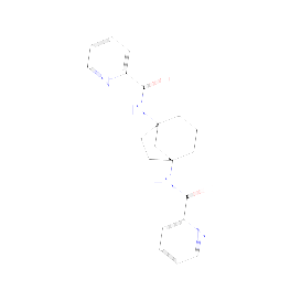 O=C(NC12CCCC(NC(=O)c3ccccn3)(CC1)C2)c1ccccn1